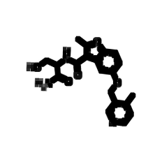 Cc1ccncc1COc1ccc2oc(C)c(C(=O)NC(CO)C(N)=O)c2c1